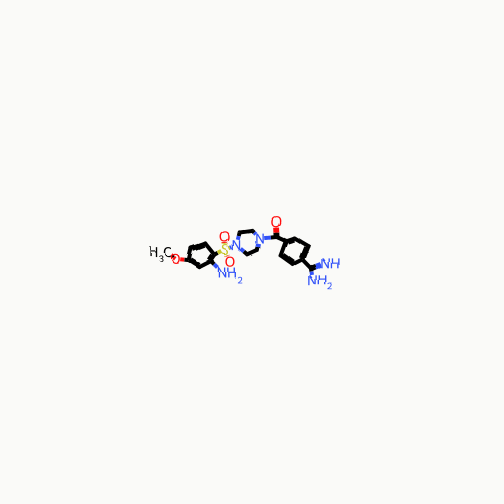 COc1ccc(S(=O)(=O)N2CCN(C(=O)c3ccc(C(=N)N)cc3)CC2)c(N)c1